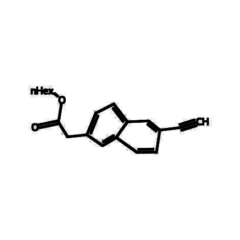 C#Cc1ccc2cc(CC(=O)OCCCCCC)ccc2c1